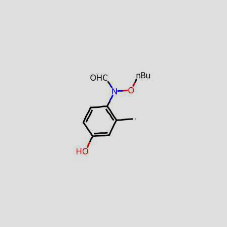 [CH2]c1cc(O)ccc1N(C=O)OCCCC